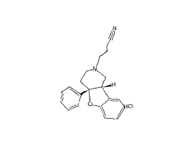 Cl.N#CCCN1CC[C@@]2(c3ccccc3)Oc3ccccc3[C@H]2C1